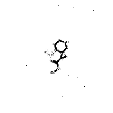 CC(C)(C)OC(=O)C1C[C@]12CNCC[C@H]2N.Cl